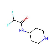 O=C(NC1CCNCC1)C(F)F